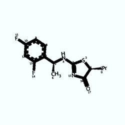 CC(C)[C@@H]1SC(N[C@@H](C)c2ccc(F)cc2F)=NC1=O